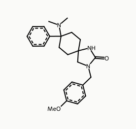 COc1ccc(CN2CC3(CCC(c4ccccc4)(N(C)C)CC3)NC2=O)cc1